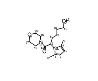 Cc1ccc(C)n1C(CCCCO)C(=O)N1CCOCC1